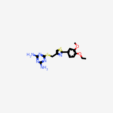 CCOc1ccc(-c2nc(CSc3nc(N)nc(N)n3)cs2)cc1OC